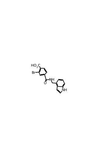 O=C(NCc1cccc2[nH]ccc12)c1ccc(C(=O)O)c(Br)c1